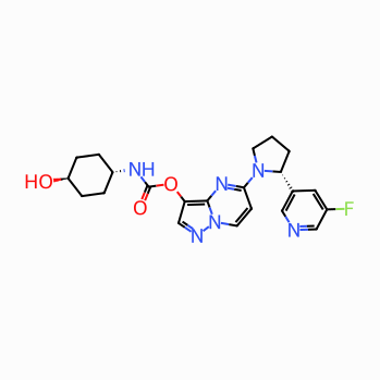 O=C(N[C@H]1CC[C@H](O)CC1)Oc1cnn2ccc(N3CCC[C@@H]3c3cncc(F)c3)nc12